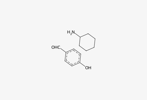 NC1CCCCC1.O=Cc1ccc(O)cc1